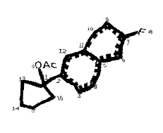 CC(=O)OC1(c2ccc3cc(F)ccc3c2)CCCC1